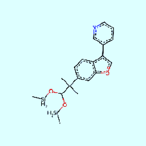 C[SiH2]OC(O[SiH2]C)C(C)(C)c1ccc2c(-c3cccnc3)coc2c1